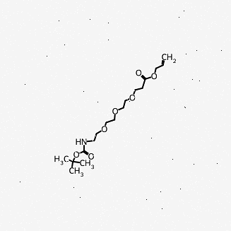 C=CCOC(=O)CCOCCOCCOCCNC(=O)OC(C)(C)C